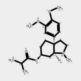 COc1ccc([C@@]23CC[C@H](OC(=O)C(C)C)C[C@@H]2N(C)CC3)cc1OC